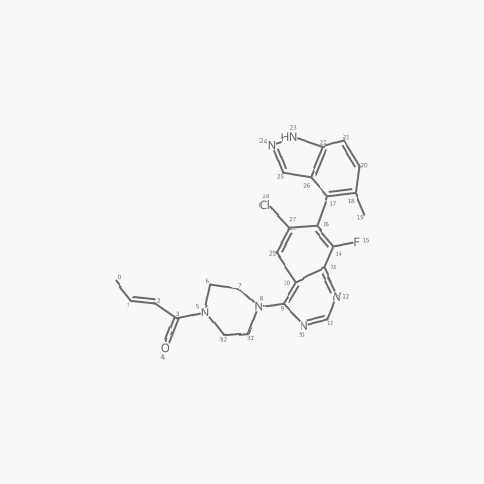 C/C=C/C(=O)N1CCN(c2ncnc3c(F)c(-c4c(C)ccc5[nH]ncc45)c(Cl)cc23)CC1